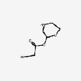 O=C(CBr)OC1CNCCO1